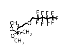 CO[Si](CCCOCC(F)(F)C(F)(F)C(F)(F)C(F)(F)F)(OC)OC